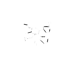 C=CC[C@@]1(I)CC(c2cccc(Cl)c2)[C@@H](c2ccc(Cl)cc2)N([C@H](CO)C2CC2)C1=O